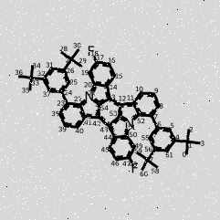 CC(C)(C)c1cc(-c2cccc3c4c5c6ccc(F)cc6n6c7c(-c8cc(C(C)(C)C)cc(C(C)(C)C)c8)cccc7c(c7c8ccc(F)cc8n(c23)c74)c56)cc(C(C)(C)C)c1